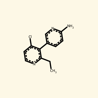 CCc1nccc(Cl)c1-c1ccc(N)nc1